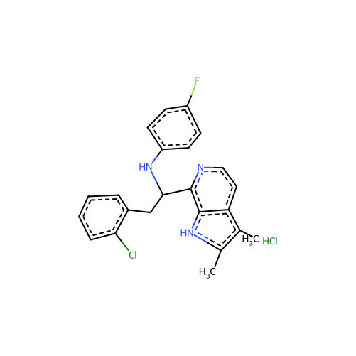 Cc1[nH]c2c(C(Cc3ccccc3Cl)Nc3ccc(F)cc3)nccc2c1C.Cl